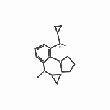 C[C@@H](c1cccc([C@H](C)C2CC2)c1N1CCCC1)C1CC1